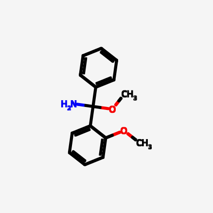 COc1ccccc1C(N)(OC)c1ccccc1